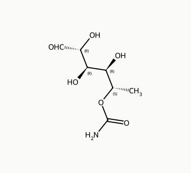 C[C@H](OC(N)=O)[C@H](O)[C@@H](O)[C@@H](O)C=O